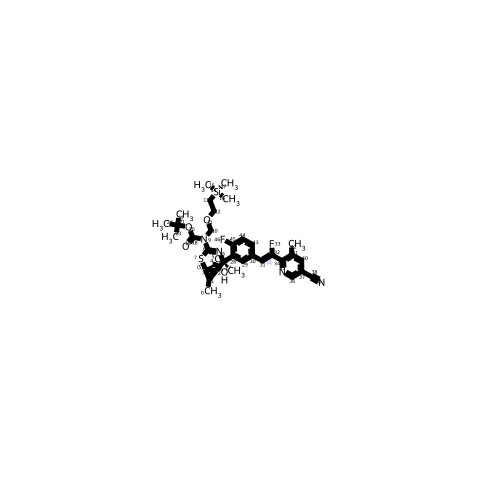 CC1=C2[C@@]1(C(=O)O)SC(N(COCC[Si](C)(C)C)C(=O)OC(C)(C)C)=N[C@]2(C)c1cc(/C=C(\F)c2ncc(C#N)cc2C)ccc1F